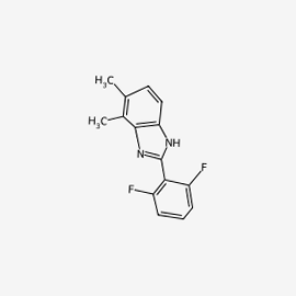 Cc1ccc2[nH]c(-c3c(F)cccc3F)nc2c1C